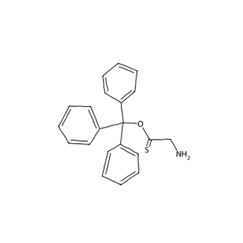 NCC(=S)OC(c1ccccc1)(c1ccccc1)c1ccccc1